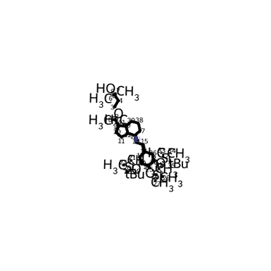 C[C@@H](OCCC(C)(C)O)C1CCC2/C(=C/C=C3C[C@@H](O[Si](C)(C)C(C)(C)C)C(O[Si](C)(C)C)[C@H](O[Si](C)(C)C(C)(C)C)C3)CCCC21C